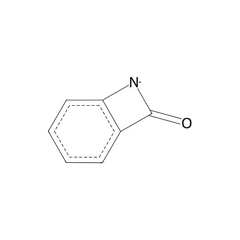 O=C1[N]c2ccccc21